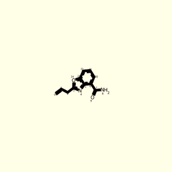 C=CCc1nc2c(C(N)=O)cccc2o1